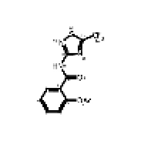 CC(=O)Oc1ccccc1C(=O)Nc1nsc(C(F)(F)F)n1